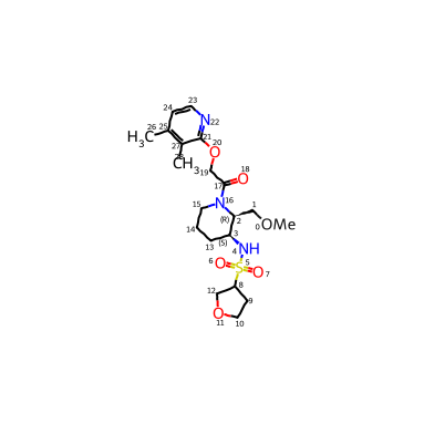 COC[C@H]1[C@@H](NS(=O)(=O)C2CCOC2)CCCN1C(=O)COc1nccc(C)c1C